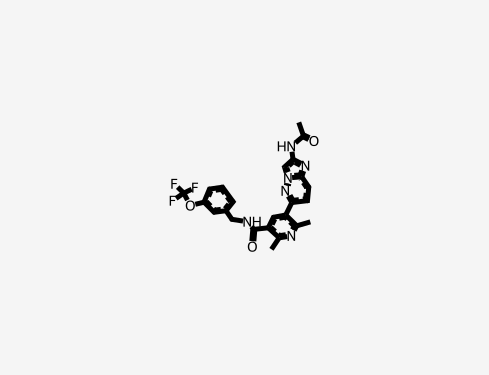 CC(=O)Nc1cn2nc(-c3cc(C(=O)NCc4cccc(OC(F)(F)F)c4)c(C)nc3C)ccc2n1